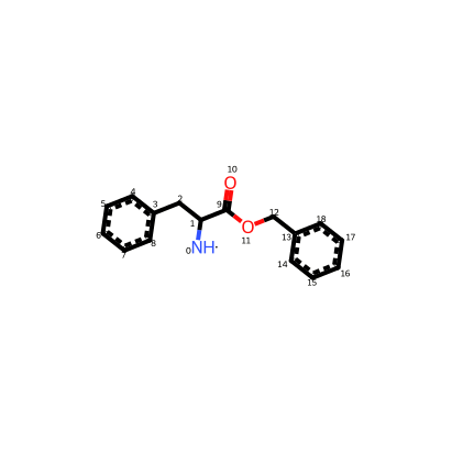 [NH]C(Cc1ccccc1)C(=O)OCc1ccccc1